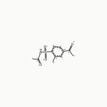 CC(=O)NS(=O)(=O)c1ccc(C(C)=O)cc1C